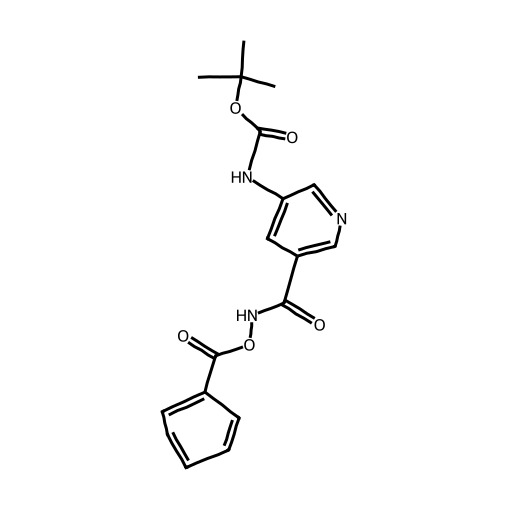 CC(C)(C)OC(=O)Nc1cncc(C(=O)NOC(=O)c2ccccc2)c1